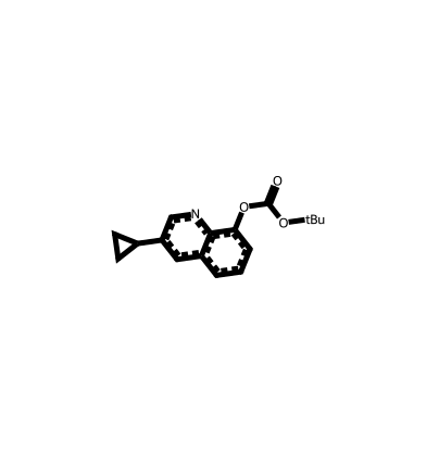 CC(C)(C)OC(=O)Oc1cccc2cc(C3CC3)cnc12